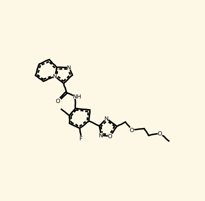 COCCOCc1nc(-c2cc(NC(=O)c3cnc4ccccn34)c(C)cc2F)no1